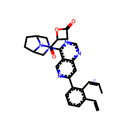 C=Cc1cccc(-c2cc3ncnc(N4CC5CCC(C4)N5C(=O)C4CC(=O)O4)c3cn2)c1/C=C\C